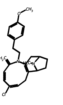 C=C1/C=C\C(Cl)=C/CC2=C(CC3CCC2N3C)N1CCc1ccc(OC)cc1